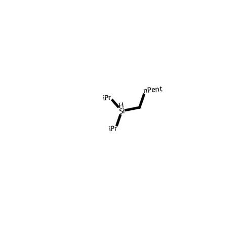 CCCCCC[SiH](C(C)C)C(C)C